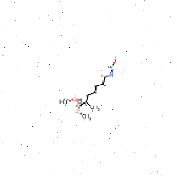 CO[SiH](OC)C(C)CCCCCN=C=O